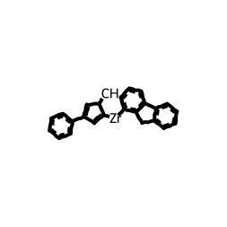 CC1C=C(c2ccccc2)C=[C]1[Zr][c]1cccc2c1Cc1ccccc1-2